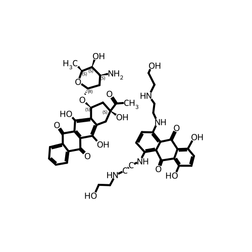 CC(=O)[C@]1(O)Cc2c(O)c3c(c(O)c2[C@@H](O[C@H]2C[C@H](N)[C@H](O)[C@H](C)O2)C1)C(=O)c1ccccc1C3=O.O=C1c2c(O)ccc(O)c2C(=O)c2c(NCCNCCO)ccc(NCCNCCO)c21